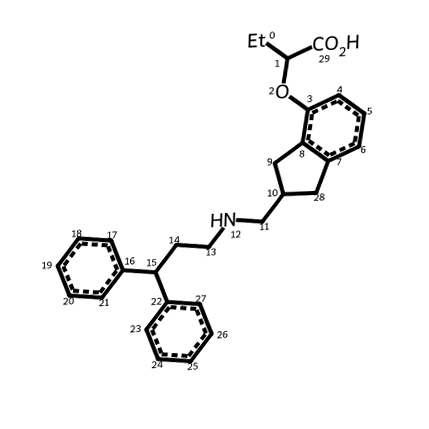 CCC(Oc1cccc2c1CC(CNCCC(c1ccccc1)c1ccccc1)C2)C(=O)O